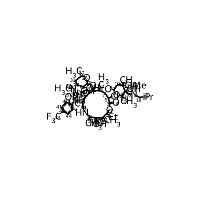 CCC1OC(=O)C(C)C(O[C@H]2C[C@@](C)(OC)[C@](O)(CNCC(C)C)[C@H](C)O2)C(C)C(O[C@@H]2O[C@H](C)C[C@H](N(C)S(=O)(=O)Nc3ccc(C(F)(F)F)cc3)[C@H]2O)C(C)(O)CC(C)CNC(C)C(O)C1(C)O